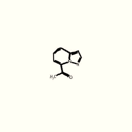 CC(=O)c1cccc2ccnn12